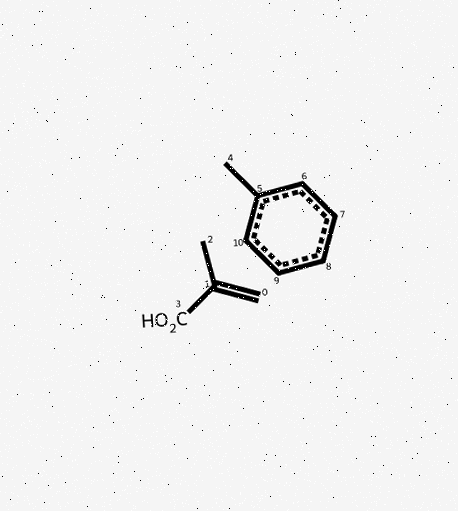 C=C(C)C(=O)O.Cc1ccccc1